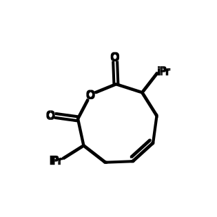 CC(C)C1CC=CCC(C(C)C)C(=O)OC1=O